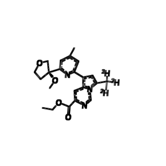 [2H]C([2H])([2H])c1cc(-c2cc(C)cc([C@]3(OC)CCOC3)n2)c2cc(C(=O)OCC)ncn12